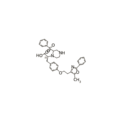 Cc1oc(-c2ccccc2)nc1CCOc1ccc(C[C@@H](C(=O)O)N2CCNCC2S(=O)(=O)c2ccccc2)cc1